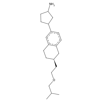 CC(C)COCC[C@H]1CCc2cc(C3CCC(N)C3)ccc2C1